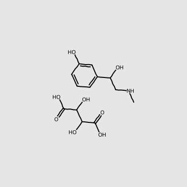 CNCC(O)c1cccc(O)c1.O=C(O)C(O)C(O)C(=O)O